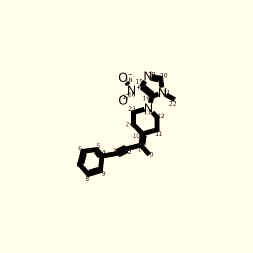 CC(C#Cc1ccccc1)=C1CCN(c2c([N+](=O)[O-])ncn2C)CC1